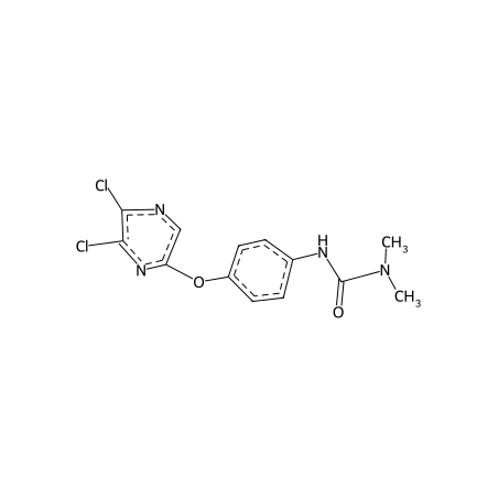 CN(C)C(=O)Nc1ccc(Oc2cnc(Cl)c(Cl)n2)cc1